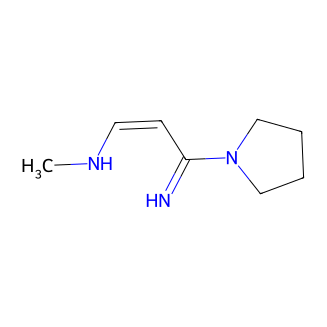 CN/C=C\C(=N)N1CCCC1